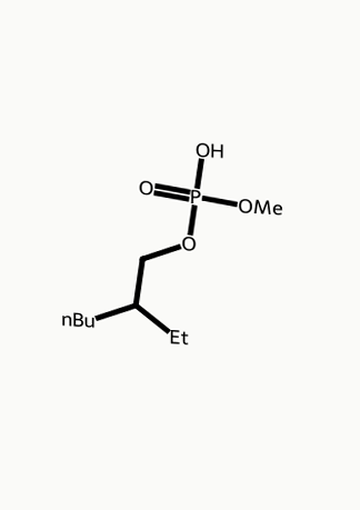 CCCCC(CC)COP(=O)(O)OC